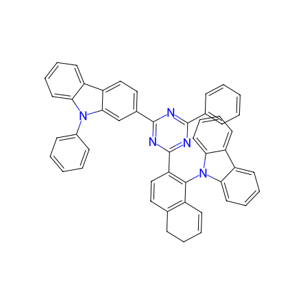 C1=Cc2c(ccc(-c3nc(-c4ccccc4)nc(-c4ccc5c6ccccc6n(-c6ccccc6)c5c4)n3)c2-n2c3ccccc3c3ccccc32)CC1